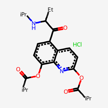 CCC(NC(C)C)C(=O)c1ccc(OC(=O)C(C)C)c2nc(OC(=O)C(C)C)ccc12.Cl